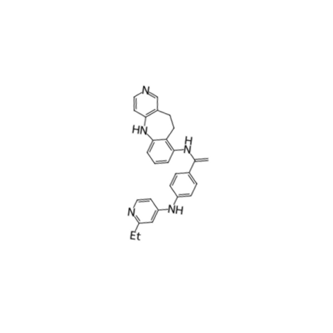 C=C(Nc1cccc2c1CCc1cnccc1N2)c1ccc(Nc2ccnc(CC)c2)cc1